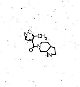 Cc1oncc1C(=O)N1CCC2CCNC2C1